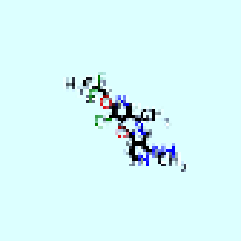 CNc1nccc2c1CN(C(C)c1cnc(OCC(C)(F)F)c(Cl)c1)C2=O